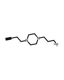 C#CCCN1CCN(CCC[18F])CC1